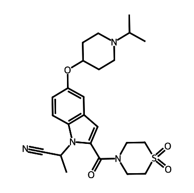 CC(C)N1CCC(Oc2ccc3c(c2)cc(C(=O)N2CCS(=O)(=O)CC2)n3C(C)C#N)CC1